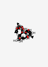 Cc1cc2ccc1Oc1cc3cc(c1O[C@@H]1O[C@H](CO)[C@@H](O)[C@H](O)[C@H]1O)Oc1ccc(cc1Cl)[C@@H](O)[C@@H]1NC(=O)[C@H](NC(=O)[C@@H]3NC(=O)[C@H](CC(N)=O)NC(=O)[C@H](NC(=O)[C@@H](CC(C)C)N(C)C(=O)OC(C)(C)C)[C@@H]2O)c2ccc(O)c(c2)-c2c(C)cc(O)cc2[C@@H](C(=O)NC2CC2)NC1=O